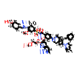 CC(C)c1ccccc1[C@@H]1CCCN1C1CC2(CCN(c3ccc(C(=O)NS(=O)(=O)c4cc5c(c([N+](=O)[O-])c4)N[C@@H]([C@H]4CC[C@](C)(O)CC4)CO5)c(Oc4cc5cc[nH]c5nc4OCCO)c3)CC2)C1